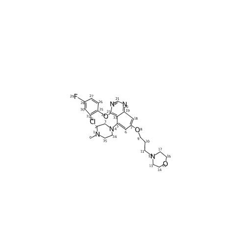 CN1CCN(c2cc(OCCCN3CCOCC3)cc3ncnc(Oc4ccc(F)cc4Cl)c23)CC1